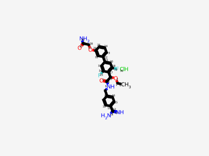 CCOC(C(=O)NCc1ccc(C(=N)N)cc1)c1c(F)cc(-c2cccc(OCC(N)=O)c2)cc1F.Cl